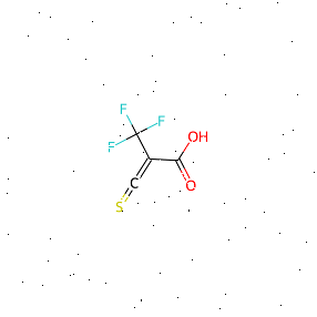 O=C(O)C(=C=S)C(F)(F)F